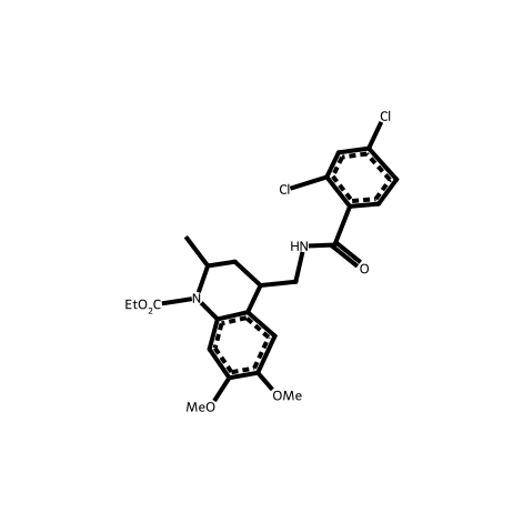 CCOC(=O)N1c2cc(OC)c(OC)cc2C(CNC(=O)c2ccc(Cl)cc2Cl)CC1C